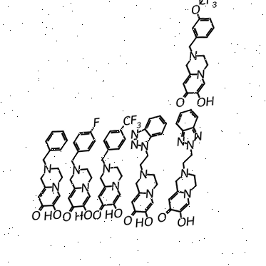 O=c1cc2n(cc1O)CCN(CCn1nc3ccccc3n1)C2.O=c1cc2n(cc1O)CCN(CCn1nnc3ccccc31)C2.O=c1cc2n(cc1O)CCN(Cc1ccc(C(F)(F)F)cc1)C2.O=c1cc2n(cc1O)CCN(Cc1ccc(F)cc1)C2.O=c1cc2n(cc1O)CCN(Cc1cccc(OC(F)(F)F)c1)C2.O=c1cc2n(cc1O)CCN(Cc1ccccc1)C2